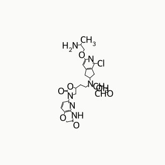 CC(N)COc1cc2c(c(Cl)n1)CC(N(C)CCC1CN(c3ccc4c(n3)NC(=O)CO4)C(=O)O1)C2.O=CO